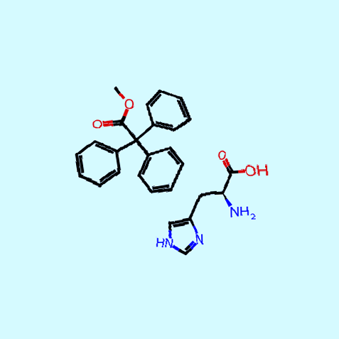 COC(=O)C(c1ccccc1)(c1ccccc1)c1ccccc1.N[C@@H](Cc1c[nH]cn1)C(=O)O